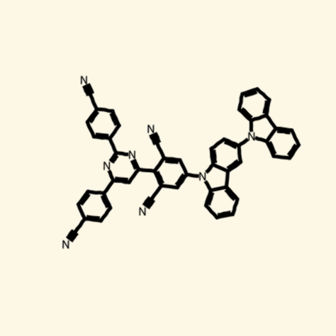 N#Cc1ccc(-c2cc(-c3c(C#N)cc(-n4c5ccccc5c5cc(-n6c7ccccc7c7ccccc76)ccc54)cc3C#N)nc(-c3ccc(C#N)cc3)n2)cc1